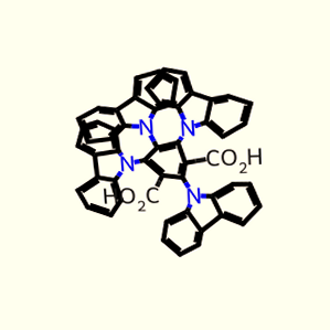 O=C(O)c1c(-n2c3ccccc3c3ccccc32)c(C(=O)O)c(-n2c3ccccc3c3ccccc32)c(-n2c3ccccc3c3ccccc32)c1-n1c2ccccc2c2ccccc21